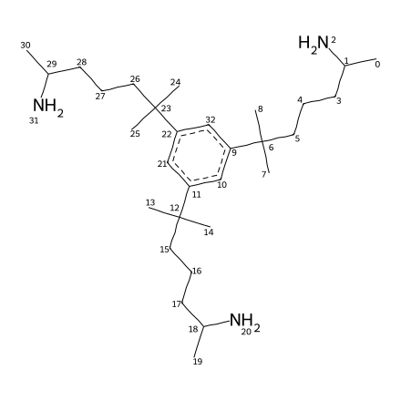 CC(N)CCCC(C)(C)c1cc(C(C)(C)CCCC(C)N)cc(C(C)(C)CCCC(C)N)c1